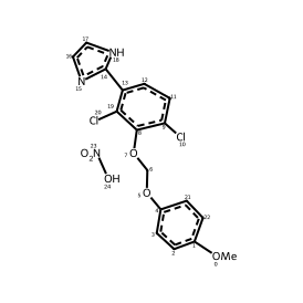 COc1ccc(OCOc2c(Cl)ccc(-c3ncc[nH]3)c2Cl)cc1.O=[N+]([O-])O